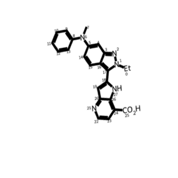 CCn1nc2cc(N(C)c3ccccc3)ccc2c1-c1cc2nccc(C(=O)O)c2[nH]1